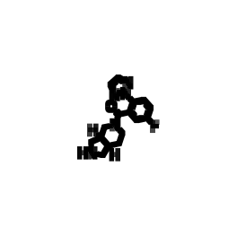 O=C(c1cc(F)ccc1-n1nccn1)N1CC[C@@H]2CNC[C@@H]2C1